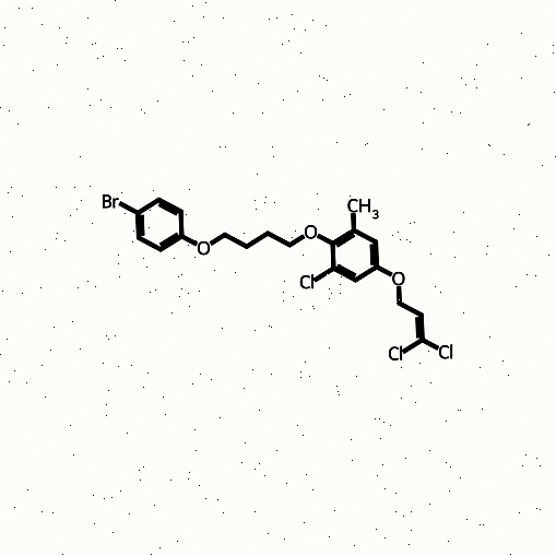 Cc1cc(OCC=C(Cl)Cl)cc(Cl)c1OCCCCOc1ccc(Br)cc1